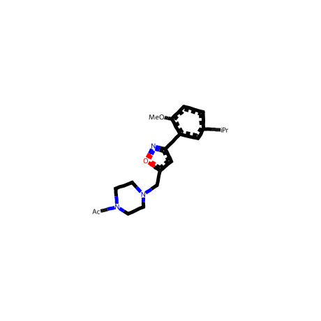 COc1ccc(C(C)C)cc1-c1cc(CN2CCN(C(C)=O)CC2)on1